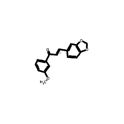 COc1cccc(C(=O)/C=C/c2ccc3c(c2)OCO3)c1